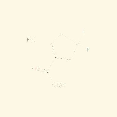 COC(=O)C1CC(F)(F)C[C@H]1C(F)(F)F